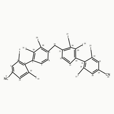 N#Cc1cc(I)c(-c2ccc(Cc3ccc(-c4c(I)cc(C#N)cc4I)c(I)c3I)c(I)c2I)c(I)c1